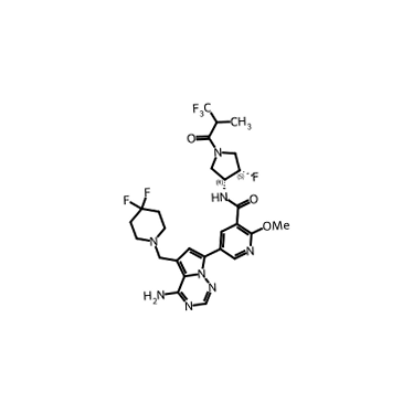 COc1ncc(-c2cc(CN3CCC(F)(F)CC3)c3c(N)ncnn23)cc1C(=O)N[C@@H]1CN(C(=O)C(C)C(F)(F)F)C[C@@H]1F